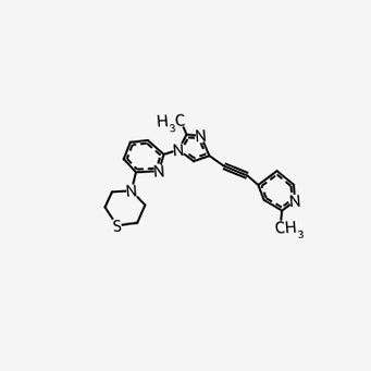 Cc1cc(C#Cc2cn(-c3cccc(N4CCSCC4)n3)c(C)n2)ccn1